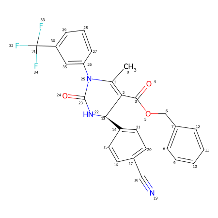 CC1=C(C(=O)OCc2ccccc2)[C@@H](c2ccc(C#N)cc2)NC(=O)N1c1cccc(C(F)(F)F)c1